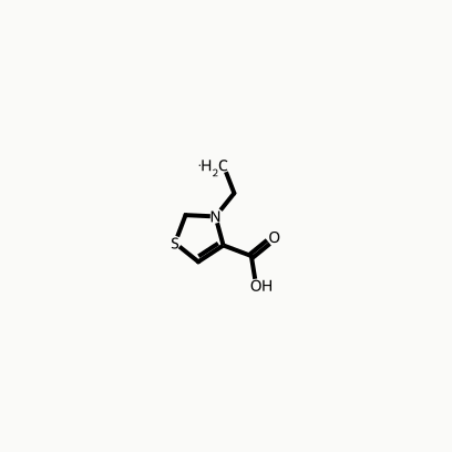 [CH2]CN1CSC=C1C(=O)O